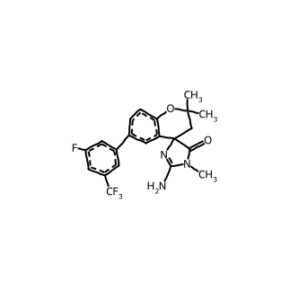 CN1C(=O)C2(CC(C)(C)Oc3ccc(-c4cc(F)cc(C(F)(F)F)c4)cc32)N=C1N